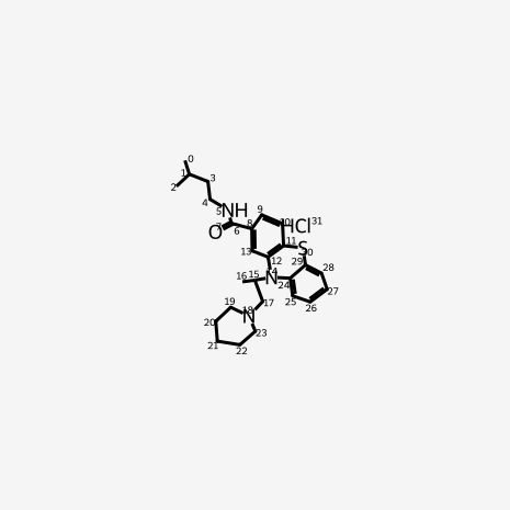 CC(C)CCNC(=O)c1ccc2c(c1)N(C(C)CN1CCCCC1)c1ccccc1S2.Cl